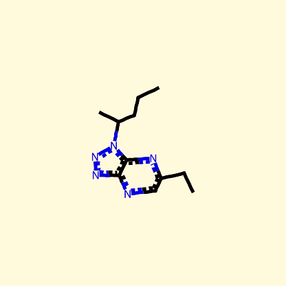 CCCC(C)n1nnc2ncc(CC)nc21